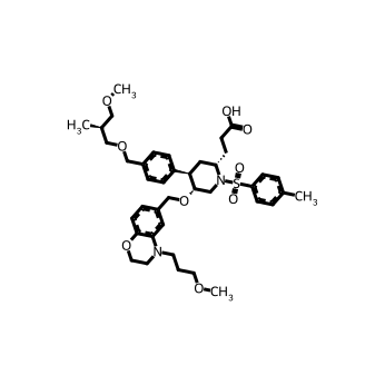 COCCCN1CCOc2ccc(CO[C@H]3CN(S(=O)(=O)c4ccc(C)cc4)[C@@H](CCC(=O)O)C[C@@H]3c3ccc(COC[C@@H](C)COC)cc3)cc21